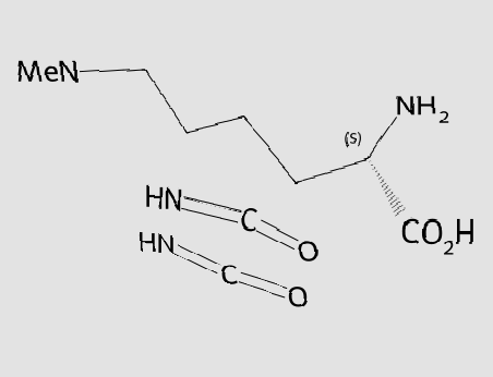 CNCCCC[C@H](N)C(=O)O.N=C=O.N=C=O